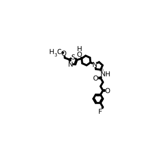 COCc1ncc(C2(O)CCC(N3CC[C@@H](NC(=O)CCC(=O)c4cccc(CF)c4)C3)CC2)s1